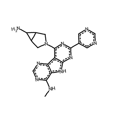 CNc1ncnc2c1[nH]c1nc(-c3cncnc3)nc(N3CC4C(N)C4C3)c12